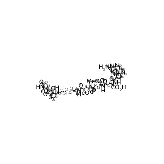 COC(=O)[C@@H](CCC(=O)NCCCCCCCCNc1cccc2c1C(=O)N(C1CCC(=O)NC1=O)C2=O)NC(=O)CC[C@@H](NC(=O)CC[C@@H](NC(=O)c1ccc(N(C)Cc2cnc3nc(N)nc(N)c3n2)cc1)C(=O)O)C(=O)OC